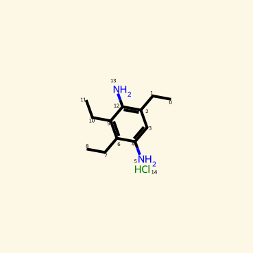 CCc1cc(N)c(CC)c(CC)c1N.Cl